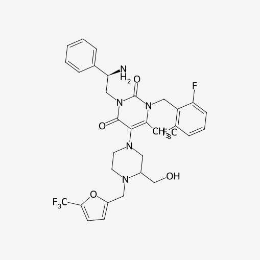 Cc1c(N2CCN(Cc3ccc(C(F)(F)F)o3)C(CO)C2)c(=O)n(C[C@H](N)c2ccccc2)c(=O)n1Cc1c(F)cccc1C(F)(F)F